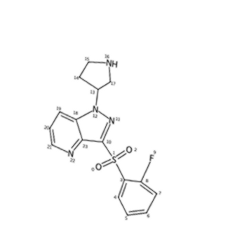 O=S(=O)(c1ccccc1F)c1nn(C2CCNC2)c2cccnc12